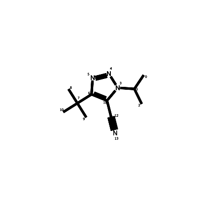 CC(C)n1nnc(C(C)(C)C)c1C#N